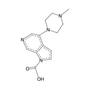 CN1CCN(c2cncc3c2ccn3C(=O)O)CC1